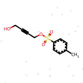 Cc1ccc(S(=O)(=O)OCC#CCO)cc1